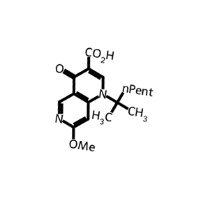 CCCCCC(C)(C)n1cc(C(=O)O)c(=O)c2cnc(OC)cc21